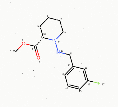 COC(=O)[C@@H]1CCCCN1NCc1cccc(F)c1